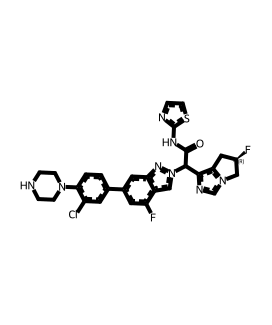 O=C(Nc1nccs1)C(c1ncn2c1C[C@@H](F)C2)n1cc2c(F)cc(-c3ccc(N4CCNCC4)c(Cl)c3)cc2n1